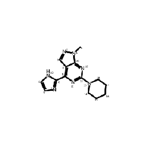 Cn1ncc2c(-c3ncc[nH]3)nc(N3CCCCC3)nc21